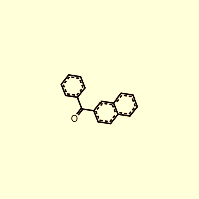 O=C(c1ccccc1)c1ccc2ccccc2c1